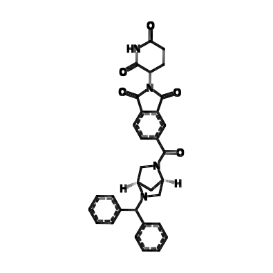 O=C1CCC(N2C(=O)c3ccc(C(=O)N4C[C@H]5C[C@@H]4CN5C(c4ccccc4)c4ccccc4)cc3C2=O)C(=O)N1